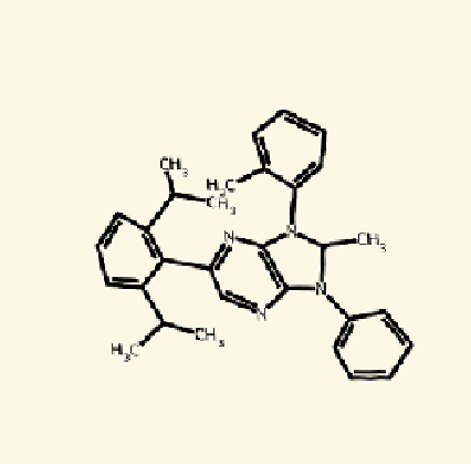 Cc1ccccc1N1c2nc(-c3c(C(C)C)cccc3C(C)C)cnc2N(c2ccccc2)C1C